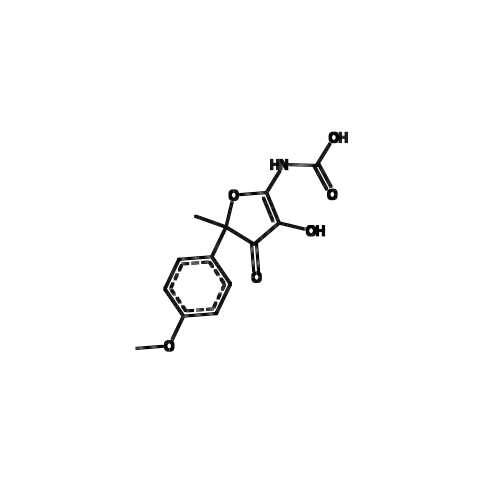 COc1ccc(C2(C)OC(NC(=O)O)=C(O)C2=O)cc1